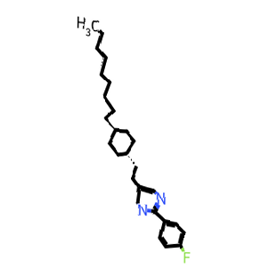 CCCCCCCCC[C@H]1CC[C@H](CCc2cnc(-c3ccc(F)cc3)nc2)CC1